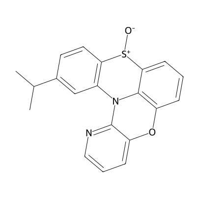 CC(C)c1ccc2c(c1)N1c3ncccc3Oc3cccc(c31)[S+]2[O-]